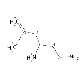 C=C(C)CC(N)CCN